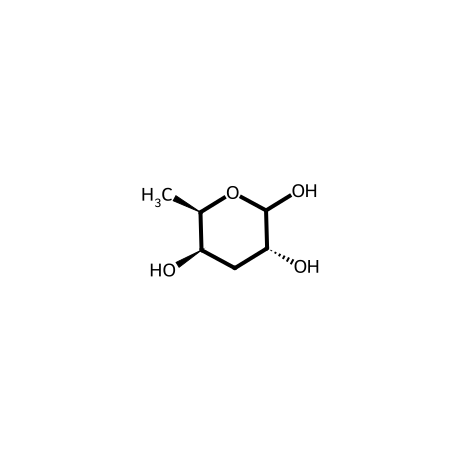 C[C@H]1OC(O)[C@H](O)C[C@H]1O